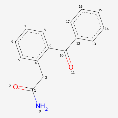 NC(=O)Cc1ccccc1C(=O)c1ccccc1